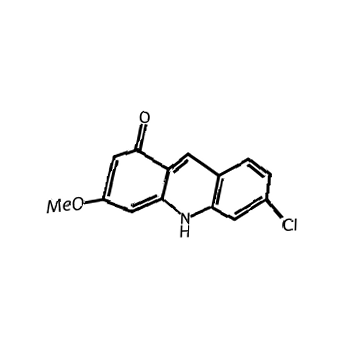 COc1cc2[nH]c3cc(Cl)ccc3cc-2c(=O)c1